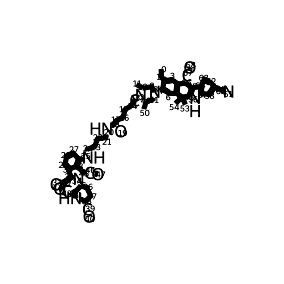 CCc1cc2c(cc1N1CC(C)N(CCCCCC(=O)NCCCCNc3cccc4c(=C=O)n(C5CCC(=C=O)NC5=C=O)c(=C=O)c34)C(C)C1)C(C)(C)c1[nH]c3cc(C#N)ccc3c1C2=C=O